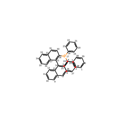 c1ccc(Cc2ccc3ccccc3c2-c2c(P(c3ccccc3)c3ccccc3)ccc3ccccc23)cc1